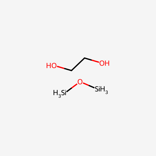 OCCO.[SiH3]O[SiH3]